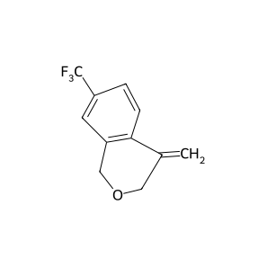 C=C1COCc2cc(C(F)(F)F)ccc21